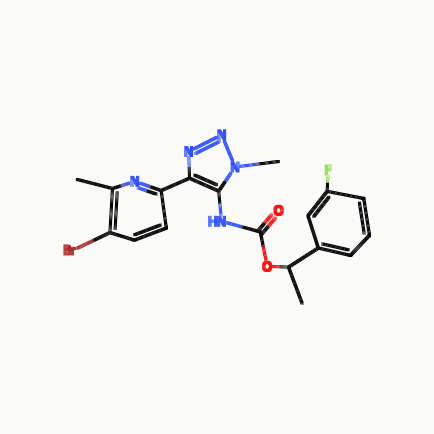 Cc1nc(-c2nnn(C)c2NC(=O)OC(C)c2cccc(F)c2)ccc1Br